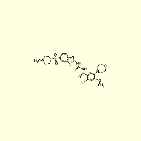 COc1cc(Cl)c(C(=O)NC(=O)Nc2nc3ccc(S(=O)(=O)C4CCN(C)CC4)cc3s2)cc1N1CCOCC1